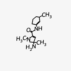 CC1C=C(NC(=O)C2=CC(C)(N)CN2C)CCC1